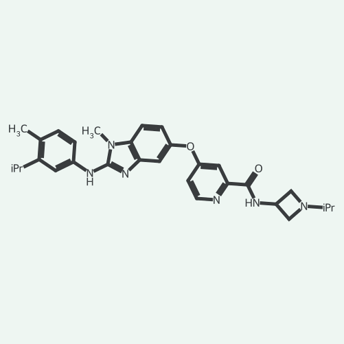 Cc1ccc(Nc2nc3cc(Oc4ccnc(C(=O)NC5CN(C(C)C)C5)c4)ccc3n2C)cc1C(C)C